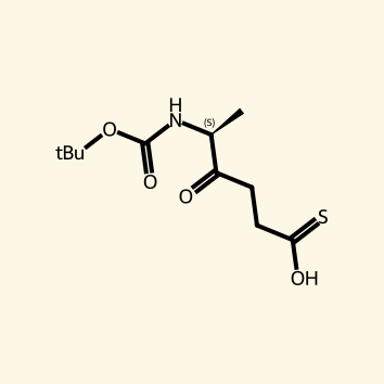 C[C@H](NC(=O)OC(C)(C)C)C(=O)CCC(O)=S